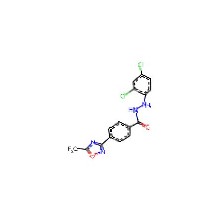 O=C(NNc1ccc(Cl)cc1Cl)c1ccc(-c2noc(C(F)(F)F)n2)cc1